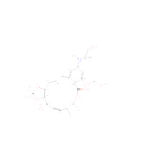 COCOc1cc(N(C)BC=O)cc2c1C(=O)OC(C)C(C)/C=C\C(=O)C1OC(C)(C)OC1C/C=C/2